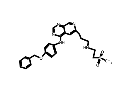 CS(=O)(=O)CCNCCCc1cc2c(Nc3ccc(OCc4ccccc4)cc3)ncnc2cn1